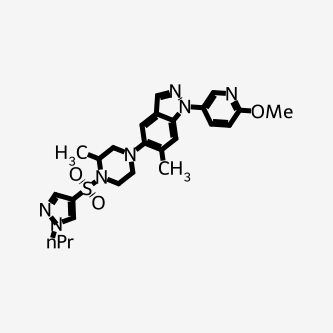 CCCn1cc(S(=O)(=O)N2CCN(c3cc4cnn(-c5ccc(OC)nc5)c4cc3C)CC2C)cn1